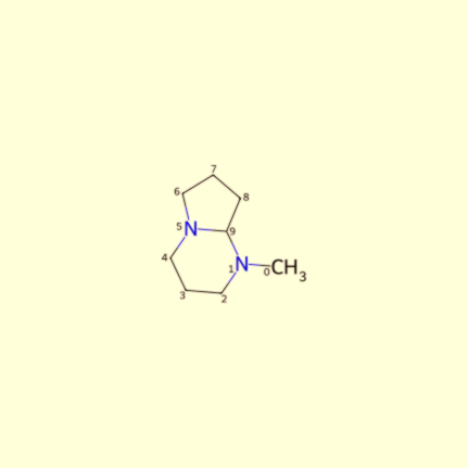 CN1CCCN2CCCC12